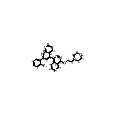 Fc1ccccc1-c1cc(-c2nnc(OCCN3CCOCC3)c3cnccc23)c2cccnc2n1